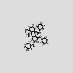 Fc1ccccc1Pc1cc(CC2C=CC=CC2)cc(CC2C=CC=CC2)c1OCc1ccccc1